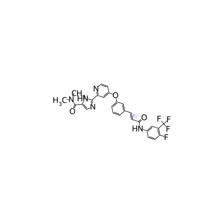 CN(C)C(=O)c1cnc(-c2cc(Oc3cccc(/C=C/C(=O)Nc4ccc(F)c(C(F)(F)F)c4)c3)ccn2)[nH]1